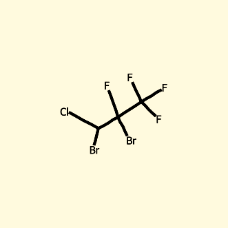 FC(F)(F)C(F)(Br)C(Cl)Br